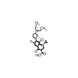 CCN(CC)[C@@H]1CCN(c2c(F)cc3c(=O)c(C(=O)O)cn(C4CC4)c3c2Cl)C1